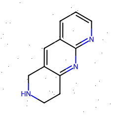 [c]1c2c(nc3ncccc13)CCNC2